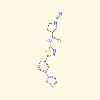 N#CN1CC[C@H](C(=O)Nc2ncc(-c3cccc(-n4ccnc4)c3)s2)C1